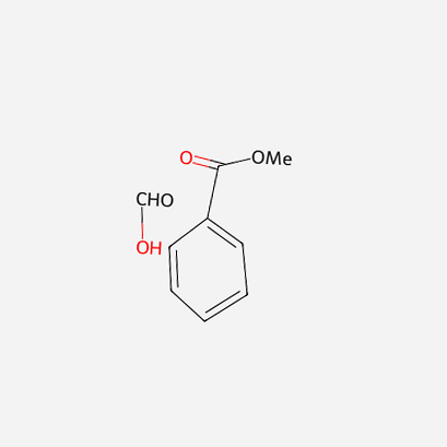 COC(=O)c1ccccc1.O=CO